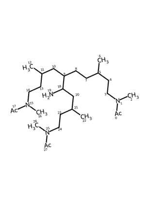 CC(=O)N(C)CCC(C)CCC(CC(C)CCN(C)C(C)=O)C(N)CC(C)CCN(C)C(C)=O